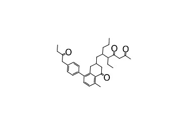 CCCC(CC1CC(=O)c2c(C)ccc(-c3ccc(CC(=O)CC)cc3)c2C1)C(CC)C(=O)CC(C)=O